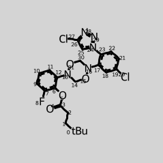 CC(C)(C)CCC(=O)Oc1c(F)cccc1N1CON(c2cc(Cl)ccc2-n2cc(Cl)nn2)CO1